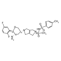 Cc1ccc(S(=O)(=O)N[SH](C)(=O)N2CC3=C(CN([C@H]4CO[C@H](c5cc(F)ccc5F)[C@@H](N)C4)C3)C2)cc1